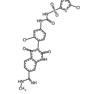 CNC(=N)c1ccc2c(=O)n(-c3ccc(NC(=O)NS(=O)(=O)c4ccc(Cl)s4)cc3Cl)c(=O)[nH]c2c1